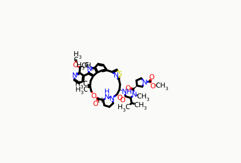 COC(=O)N1CC[C@H](C(=O)N(C)C(C(=O)N[C@H]2Cc3nc(cs3)-c3ccc4c(c3)c(c(-c3cccnc3[C@H](C)OC)n4C)CC(C)(C)COC(=O)[C@@H]3CCCN(N3)C2=O)C(C)C)C1